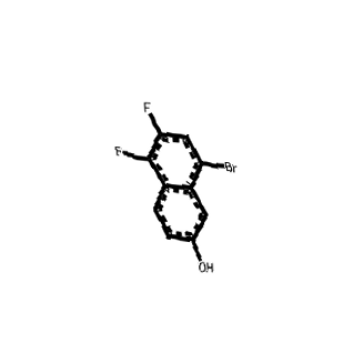 Oc1ccc2c(F)c(F)cc(Br)c2c1